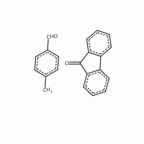 Cc1ccc(C=O)cc1.O=C1c2ccccc2-c2ccccc21